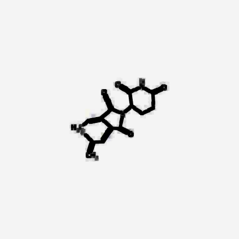 C=C(F)/C=C1/C(=O)N(C2CCC(=O)NC2=O)C(=O)/C1=C/C